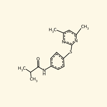 Cc1cc(C)nc(Sc2ccc(NC(=O)C(C)C)cc2)n1